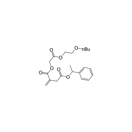 C=C(CC(=O)OC(C)c1ccccc1)C(=O)OCC(=O)OCCOCCCC